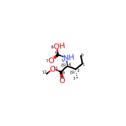 CC[C@H](C)[C@H](NC(=O)O)C(=O)OC